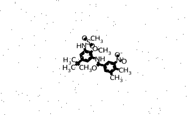 COc1c(NC(=O)c2cc(C)c(C)c([N+](=O)[O-])c2)cc(C(C)(C)C)cc1NS(C)(=O)=O